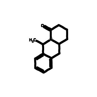 CC1c2ccccc2CC2CCCC(=O)N21